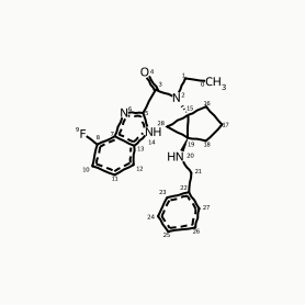 CCN(C(=O)c1nc2c(F)cccc2[nH]1)[C@]12CCC[C@]1(NCc1ccccc1)C2